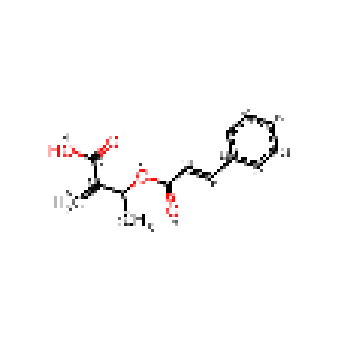 C=C(C(=O)O)C(C)OC(=O)C=Cc1ccccc1